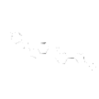 Cc1cnc(Nc2ccc3c(ccn3S(=O)(=O)c3ccc(C(F)(F)F)cc3)c2)nc1-c1cnn(C2CCC2)c1